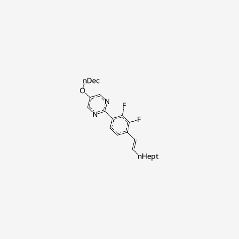 CCCCCCCC=Cc1ccc(-c2ncc(OCCCCCCCCCC)cn2)c(F)c1F